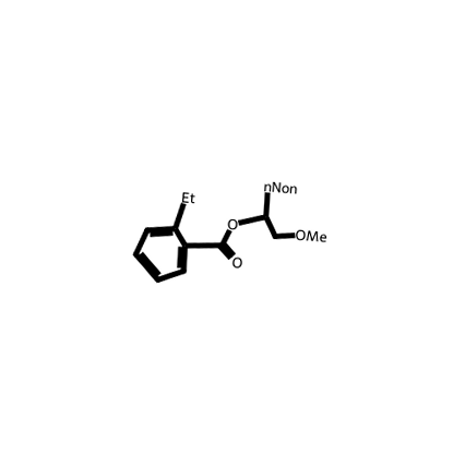 CCCCCCCCCC(COC)OC(=O)c1ccccc1CC